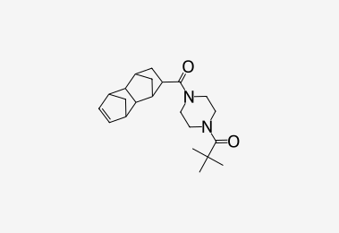 CC(C)(C)C(=O)N1CCN(C(=O)C2CC3CC2C2C4C=CC(C4)C32)CC1